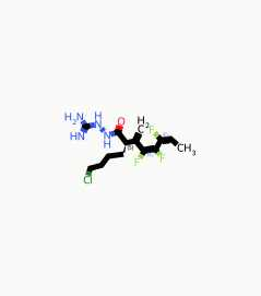 C=C(/C(F)=C(F)\C(F)=C/C)[C@H](CCCCCl)C(=O)NNC(=N)N